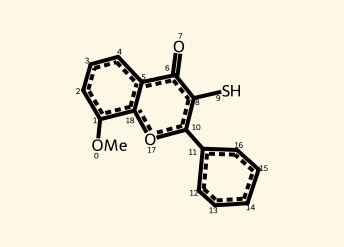 COc1cccc2c(=O)c(S)c(-c3ccccc3)oc12